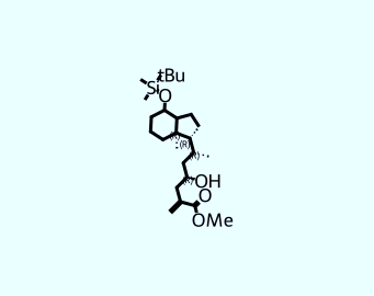 C=C(C[C@H](O)C[C@@H](C)[C@H]1CCC2C(O[Si](C)(C)C(C)(C)C)CCC[C@@]21C)C(=O)OC